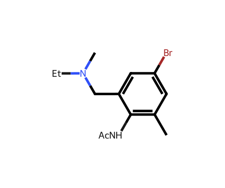 CCN(C)Cc1cc(Br)cc(C)c1NC(C)=O